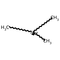 CCCCCCCCCCCCCCCCn1cc[n+](CCCCCCCC)c1CCCCCCCCCCCCCCC